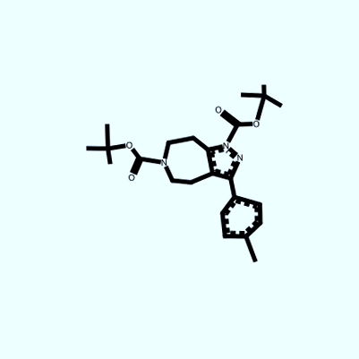 Cc1ccc(-c2nn(C(=O)OC(C)(C)C)c3c2CCN(C(=O)OC(C)(C)C)CC3)cc1